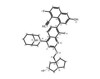 C#Cc1c(F)ccc2cc(O)cc(-c3ccc4c(N5CC6CCCC(C5)N6)nc(OC[C@@]56CCCN5C[C@H](F)C6)nc4c3F)c12